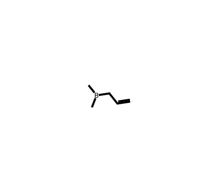 C=CCB(C)C